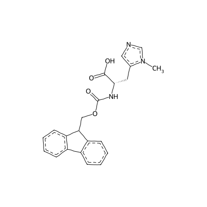 Cn1cncc1C[C@H](NC(=O)OCC1c2ccccc2-c2ccccc21)C(=O)O